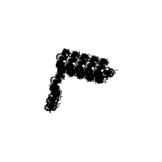 O=C(C[S+]1CCCC1)c1ccc2ccccc2c1.O=C(C[S+]1CCCC1)c1ccc2ccccc2c1.O=C(C[S+]1CCCC1)c1ccc2ccccc2c1.O=C(C[S+]1CCCC1)c1ccc2ccccc2c1.O=C(C[S+]1CCCC1)c1ccc2ccccc2c1.O=C(C[S+]1CCCC1)c1ccc2ccccc2c1.[O]=[Sb]([O-])([O-])[F].[O]=[Sb]([O-])([O-])[F].[O]=[Sb]([O-])([O-])[F]